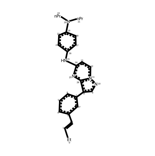 CC/C=C/c1cccc(-c2cnn3ccc(Nc4ccc(N(CCC)CCC)cc4)nc23)c1